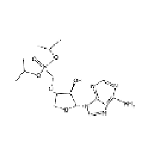 CC(C)OP(=O)(CO[C@H]1CO[C@@H](n2cnc3c(N)ncnc32)[C@@H]1O)OC(C)C